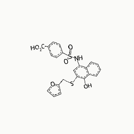 O=C(O)c1ccc(S(=O)(=O)Nc2cc(SCc3ccco3)c(O)c3ccccc23)cc1